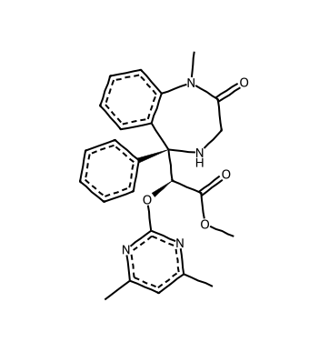 COC(=O)[C@@H](Oc1nc(C)cc(C)n1)[C@@]1(c2ccccc2)NCC(=O)N(C)c2ccccc21